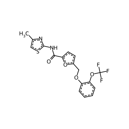 Cc1csc(NC(=O)c2ccc(COc3ccccc3OC(F)(F)F)o2)n1